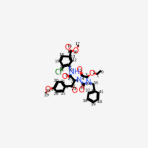 CCOC1C(=O)N(C(C(=O)Nc2cc(C(=O)OC)ccc2Cl)C(=O)c2ccc(OC)cc2)C(=O)N1Cc1ccccc1